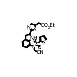 CCOC(=O)CC1CN=C(C2Cc3cccc(N(CC#N)S(=O)(=O)c4cccs4)c3N2)S1